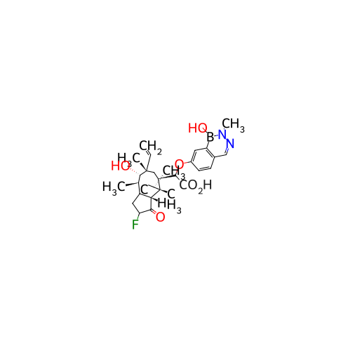 C=C[C@]1(C)C[C@@H](C(Oc2ccc3c(c2)B(O)N(C)N=C3)C(=O)O)[C@@]2(C)[C@H](C)CC[C@]3(CC(F)C(=O)[C@H]32)[C@@H](C)[C@@H]1O